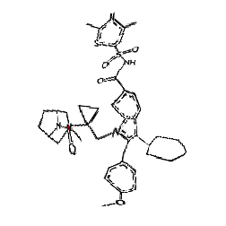 COc1ccc(-c2c(C3CCCCC3)c3ccc(C(=O)NS(=O)(=O)c4sc(C)nc4C)cc3n2CC2(C(=O)N3C4CCC3CN(C)C4)CC2)cc1